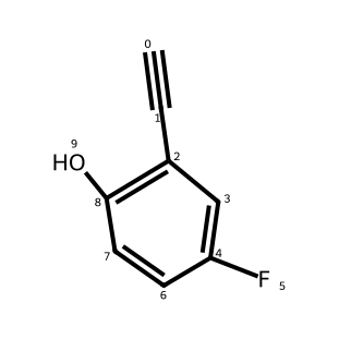 C#Cc1cc(F)ccc1O